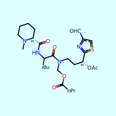 CCCC(=O)OCN(CC[C@@H](OC(C)=O)c1nc(C=O)cs1)C(=O)C(NC(=O)[C@H]1CCCCN1C)C(C)CC